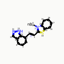 CCCC[n+]1c(/C=C/c2cccc3cn[nH]c23)sc2ccccc21